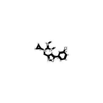 CN=C(SC)N(Cc1cc(-c2cccc(Cl)c2)on1)C1CC1